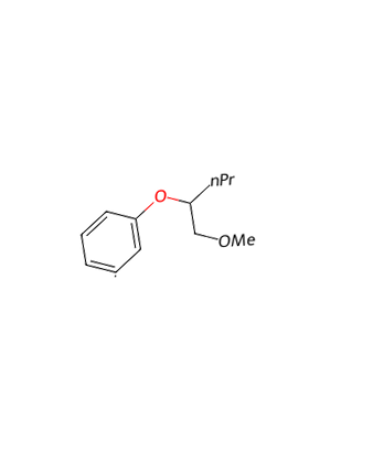 CCCC(COC)Oc1c[c]ccc1